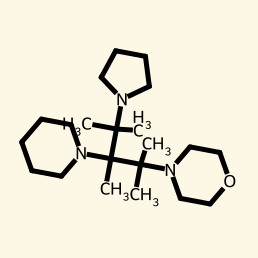 CC(C)(N1CCCC1)C(C)(N1CCCCC1)C(C)(C)N1CCOCC1